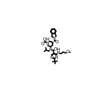 COCCCNc1nc(C(C)(C)C)ncc1C(=O)N(CC(C)C)[C@H]1C[C@@H](C(=O)N2Cc3ccccc3C2)CN(C(=O)O)C1